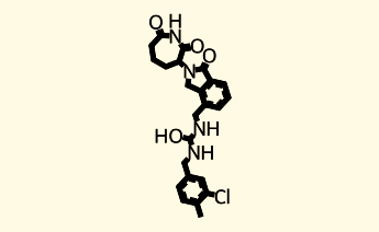 Cc1ccc(CNC(O)NCc2cccc3c2CN(C2CCCC(=O)NC2=O)C3=O)cc1Cl